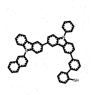 Sc1ccccc1-c1cccc(-c2ccc3c(c2)c2cc(-c4ccc5c(c4)c4ccccc4n5-c4ccc5ccccc5c4)ccc2n3-c2ccccc2)c1